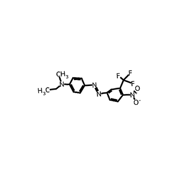 CCN(C)c1ccc(N=Nc2ccc([N+](=O)[O-])c(C(F)(F)F)c2)cc1